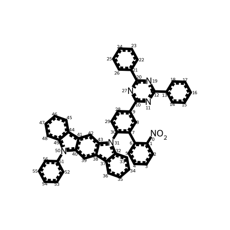 O=[N+]([O-])c1ccccc1-c1cc(-c2nc(-c3ccccc3)nc(-c3ccccc3)n2)ccc1-n1c2ccccc2c2cc3c(cc21)c1ccccc1n3-c1ccccc1